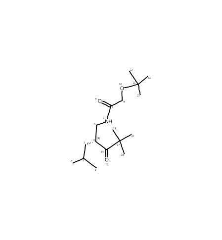 CC(C)C[C@H](CNC(=O)COC(C)(C)C)C(=O)C(C)(C)C